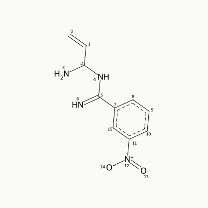 C=CC(N)NC(=N)c1cccc([N+](=O)[O-])c1